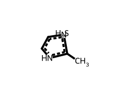 Cc1ncc[nH]1.S